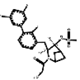 CS(=O)(=O)N[C@H]1C2CC(C2)N(C(=O)CO)[C@H]1Cc1cccc(-c2cc(F)cc(F)c2)c1F